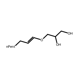 CCCCCCC=COCC(O)CO